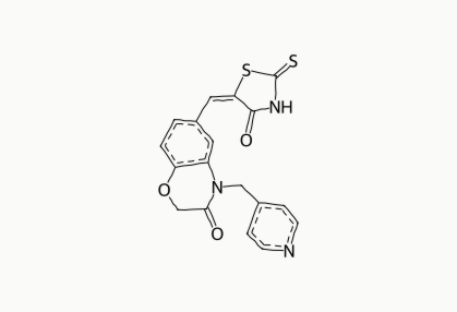 O=C1NC(=S)SC1=Cc1ccc2c(c1)N(Cc1ccncc1)C(=O)CO2